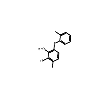 COc1c(Sc2ccccc2C)ccc(C)c1Cl